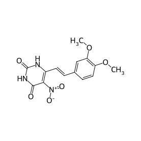 COc1ccc(C=Cc2[nH]c(=O)[nH]c(=O)c2[N+](=O)[O-])cc1OC